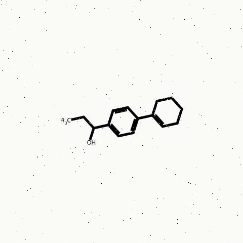 CCC(O)c1ccc(C2=CCCCC2)cc1